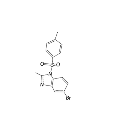 Cc1ccc(S(=O)(=O)n2c(C)nc3cc(Br)ccc32)cc1